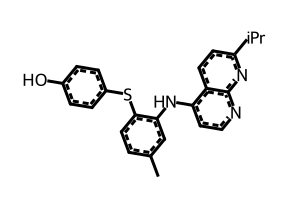 Cc1ccc(Sc2ccc(O)cc2)c(Nc2ccnc3nc(C(C)C)ccc23)c1